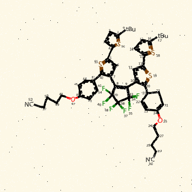 CC(C)(C)c1ccc(-c2cc(C3=C(c4cc(-c5ccc(C(C)(C)C)s5)sc4C4C=CC(OCCCCC#N)=CC4)C(F)(F)C(F)(F)C3(F)F)c(-c3ccc(OCCCCC#N)cc3)s2)s1